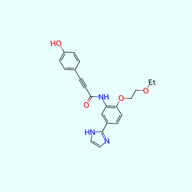 CCOCCOc1ccc(-c2ncc[nH]2)cc1NC(=O)C#Cc1ccc(O)cc1